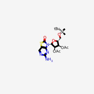 CC(=O)O[C@@H]1[C@H](OC(C)=O)[C@@H](CO[Si](C)(C)C(C)(C)C)O[C@H]1n1c(=O)sc2cnc(N)nc21